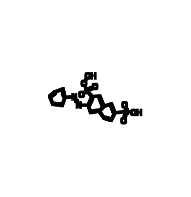 O=S(=O)(O)c1ccc2cc(N=Nc3ccccc3)c(S(=O)(=O)OO)cc2c1